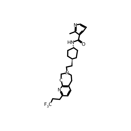 Cc1ncccc1C(=O)N[C@H]1CC[C@H](CCN2CCc3ccc(CCC(F)(F)F)nc3CC2)CC1